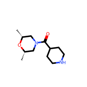 C[C@@H]1CN(C(=O)C2CCNCC2)C[C@H](C)O1